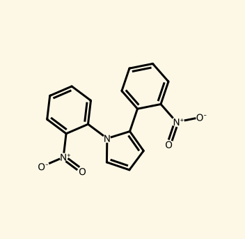 O=[N+]([O-])c1ccccc1-c1cccn1-c1ccccc1[N+](=O)[O-]